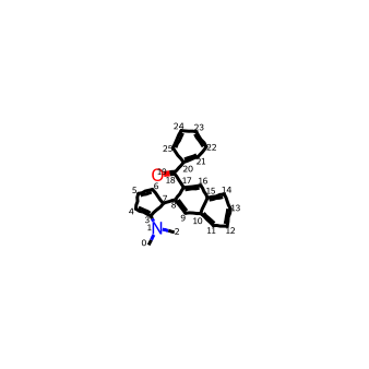 CN(C)C1=CC=CC1c1cc2ccccc2cc1C(=O)c1ccccc1